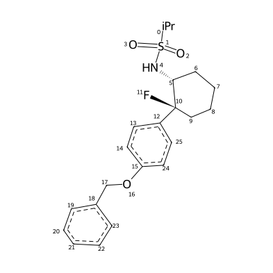 CC(C)S(=O)(=O)N[C@@H]1CCCC[C@]1(F)c1ccc(OCc2ccccc2)cc1